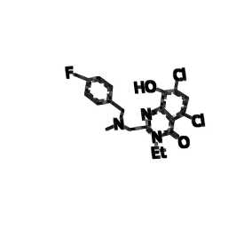 CCn1c(CN(C)Cc2ccc(F)cc2)nc2c(O)c(Cl)cc(Cl)c2c1=O